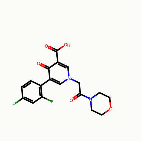 O=C(O)c1cn(CC(=O)N2CCOCC2)cc(-c2ccc(F)cc2F)c1=O